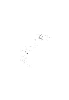 Cc1nc2n(c(=O)c1CCN1CCC(c3noc4cc(F)ccc34)CC1)CCCC2OC(=O)C(C)(C)CC(C)C